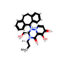 COC[C@H](C)N1C(=O)c2c(O)c(=O)ccn2N(C2c3ccccc3CCc3ccccc32)[C@@H]1CO